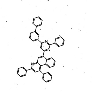 c1ccc(-c2cccc(-c3cc(-c4cc5nc(-c6ccccc6)cc(-c6ccccc6)c5c5ccccc45)nc(-c4ccccc4)n3)c2)cc1